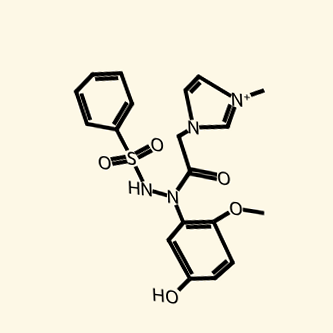 COc1ccc(O)cc1N(NS(=O)(=O)c1ccccc1)C(=O)Cn1cc[n+](C)c1